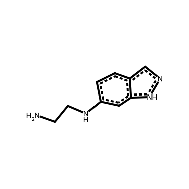 NCCNc1ccc2cn[nH]c2c1